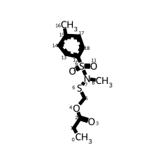 CCC(=O)OCSN(C)S(=O)(=O)c1ccc(C)cc1